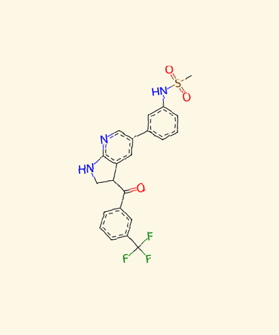 CS(=O)(=O)Nc1cccc(-c2cnc3c(c2)C(C(=O)c2cccc(C(F)(F)F)c2)CN3)c1